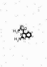 CC(C)N(C)C(=O)c1nc(N)nc2ccccc12